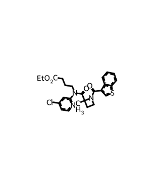 CCOC(=O)CCCN(C(=O)C1(C)CCN1C(=O)c1csc2ccccc12)c1cc(Cl)ccn1